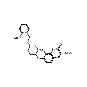 COc1ccccc1COC1CCC(Oc2ccc3cc(NC(C)=O)c(=O)oc3c2C)CC1